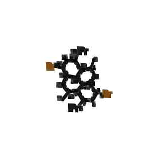 Cc1cc2c(Br)cc(C(C)C)c3c(C)cc4c(Br)cc(C(C)C)c1c4c23